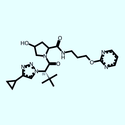 CC(C)(C)[C@@H](C(=O)N1CC(O)CC1C(=O)NCCCOc1ncccn1)n1cc(C2CC2)nn1